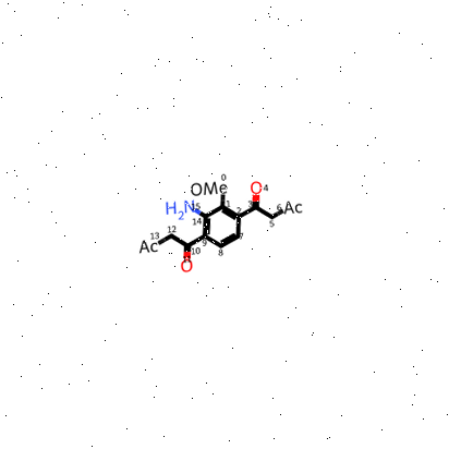 COc1c(C(=O)CC(C)=O)ccc(C(=O)CC(C)=O)c1N